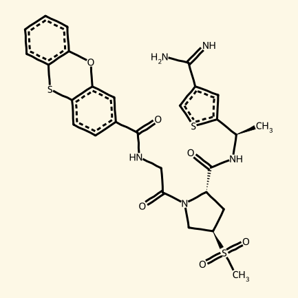 C[C@@H](NC(=O)[C@@H]1C[C@@H](S(C)(=O)=O)CN1C(=O)CNC(=O)c1ccc2c(c1)Oc1ccccc1S2)c1cc(C(=N)N)cs1